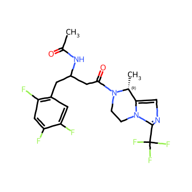 CC(=O)NC(CC(=O)N1CCn2c(cnc2C(F)(F)F)[C@H]1C)Cc1cc(F)c(F)cc1F